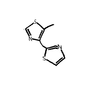 Cc1s[c]nc1-c1nccs1